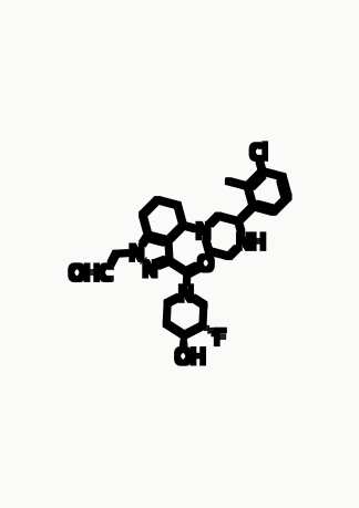 Cc1c(Cl)cccc1C1CN(C2CCCc3c2c(C(=O)N2CC[C@H](O)[C@@H](F)C2)nn3CC=O)CCN1